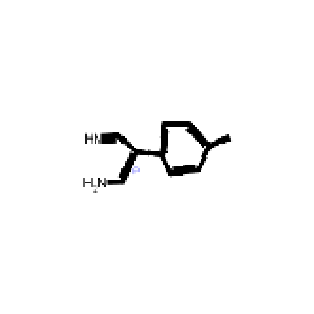 Cc1ccc(/C(C=N)=C/N)cc1